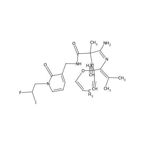 C#CC(C)(O/C=C\C)C(/N=C(/N)C(C)(C#C)C(=O)NCc1cccn(CC(F)I)c1=O)=C(C)C